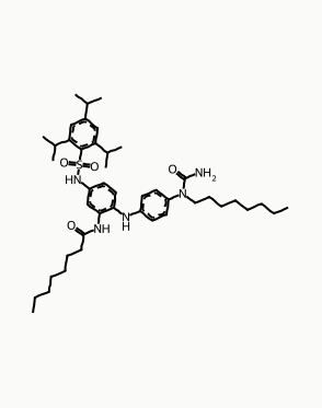 CCCCCCCCN(C(N)=O)c1ccc(Nc2ccc(NS(=O)(=O)c3c(C(C)C)cc(C(C)C)cc3C(C)C)cc2NC(=O)CCCCCCC)cc1